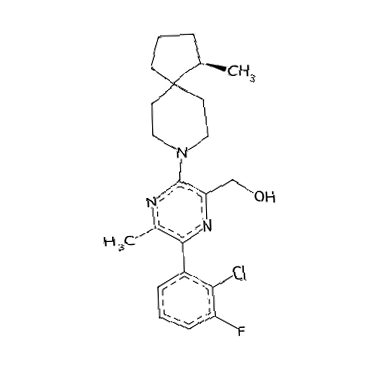 Cc1nc(N2CCC3(CCC[C@H]3C)CC2)c(CO)nc1-c1cccc(F)c1Cl